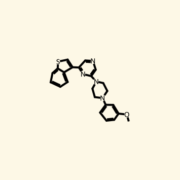 COc1cccc(N2CCN(c3cncc(-c4csc5ccccc45)n3)CC2)c1